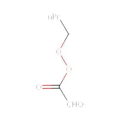 CCCCOOC(=O)[C]=O